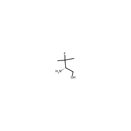 CC(C)(F)[C@@H](N)CO